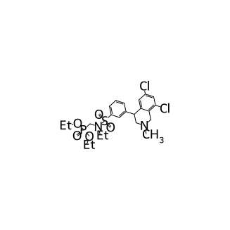 CCOP(=O)(CN(CC)S(=O)(=O)c1cccc(C2CN(C)Cc3c(Cl)cc(Cl)cc32)c1)OCC